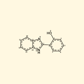 Oc1c[c]ccc1-c1nc2ccccc2[nH]1